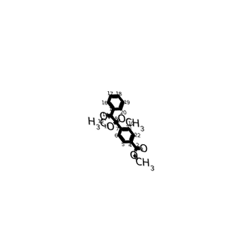 COC(=O)c1ccc(C(OC)(OC)C(=O)c2ccccc2)cc1